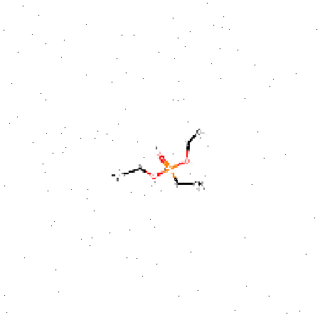 C[CH]P(=O)(OCC)OCC